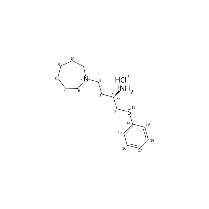 Cl.N[C@H](CCN1CCCCCC1)CSc1ccccc1